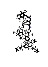 CNC1C(O)[C@@H](OC2[C@@H](O)[C@H](O[C@H]3OC(CNC(=O)OC(C)(C)C)CCC3NC(=O)OC(C)(C)C)C(NC(=O)OC(C)(C)C)C[C@H]2NC(=O)OC/C=C(\C)CC(C/C(C)=C/Cc2c(OC)c(C)c3c(c2OCOCCOC)C(=O)OC3)C(=O)O)OC[C@]1(C)O